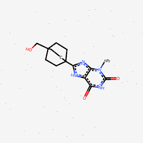 CCCn1c(=O)[nH]c(=O)c2[nH]c(C34CCC(CO)(CC3)CC4)nc21